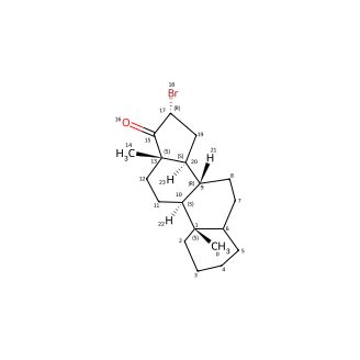 C[C@]12CCCCC1CC[C@@H]1[C@@H]2CC[C@]2(C)C(=O)[C@H](Br)C[C@@H]12